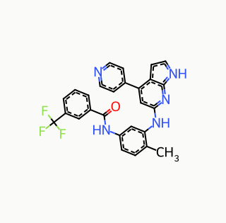 Cc1ccc(NC(=O)c2cccc(C(F)(F)F)c2)cc1Nc1cc(-c2ccncc2)c2cc[nH]c2n1